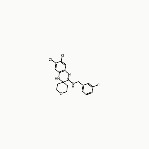 Clc1cccc(CNC2=Nc3cc(Cl)c(Cl)cc3NC23CCOCC3)c1